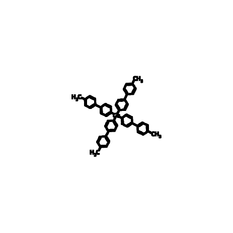 Cc1ccc(-c2cc[c]([Ge]([c]3ccc(-c4ccc(C)cc4)cc3)([c]3ccc(-c4ccc(C)cc4)cc3)[c]3ccc(-c4ccc(C)cc4)cc3)cc2)cc1